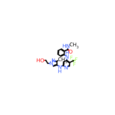 CNC(=O)c1ccccc1Nc1cc(Nc2cn(CCO)nc2C)ncc1C(F)(F)F